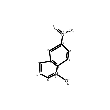 O=[N+]([O-])c1ccc2c(cnc[n+]2[O-])c1